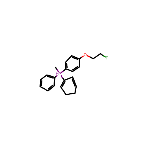 C[PH](C1=CCCC=C1)(c1ccccc1)c1ccc(OCCF)cc1